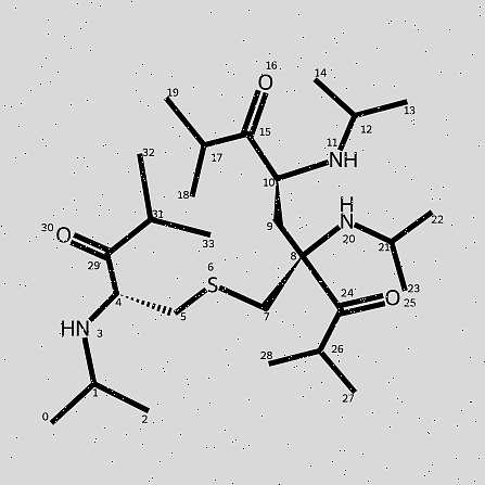 CC(C)N[C@@H](CSC[C@@](C[C@H](NC(C)C)C(=O)C(C)C)(NC(C)C)C(=O)C(C)C)C(=O)C(C)C